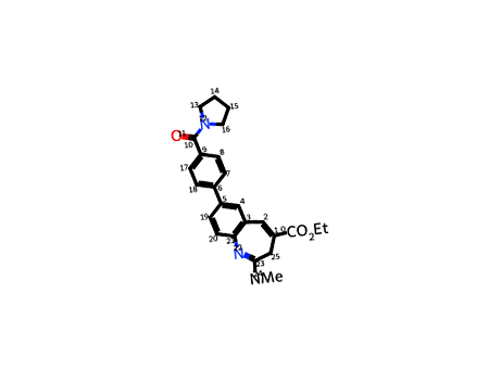 CCOC(=O)C1=Cc2cc(-c3ccc(C(=O)N4CCCC4)cc3)ccc2N=C(NC)C1